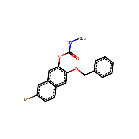 CC(C)(C)NC(=O)Oc1cc2cc(Br)ccc2cc1OCc1ccccc1